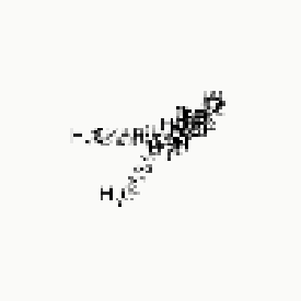 CCCCCCCCCCC(CCCCCCCCC)CC(S)OC(CC)OC(O)([PH2]=O)C(=O)OCc1ccccc1